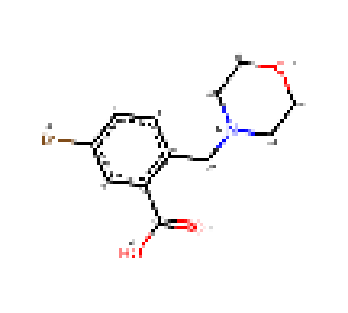 O=C(O)c1cc(Br)ccc1CN1CCOCC1